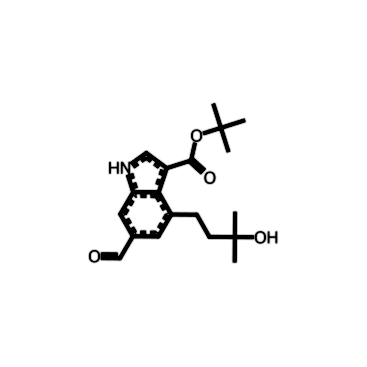 CC(C)(O)CCc1cc(C=O)cc2[nH]cc(C(=O)OC(C)(C)C)c12